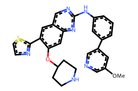 COc1cncc(-c2cccc(Nc3ncc4cc(-c5nccs5)c(OC5CCNCC5)cc4n3)c2)c1